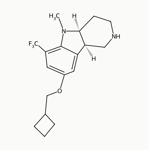 CN1c2c(cc(OCC3CCC3)cc2C(F)(F)F)[C@@H]2CNCC[C@@H]21